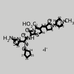 C[n+]1ccc(N2CCC(=CC3=C(C(=O)O)N4C(=O)C(NC(=O)C(=NOC5CCCC5)c5csc(N)n5)C4SC3)C2=O)cc1.[I-]